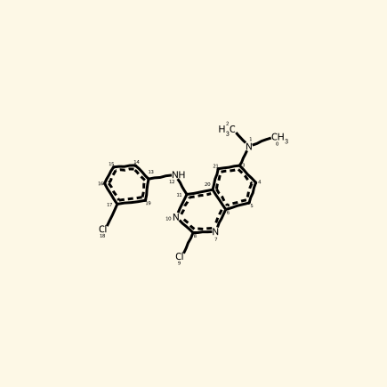 CN(C)c1ccc2nc(Cl)nc(Nc3cccc(Cl)c3)c2c1